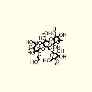 COC1C(CO)OC(OCC2OC(OC3C(CO)OC(C)C(O)C3O)C(O)C(O)C2OC2OC(CO)C(OC)C(O)C2OCCO)C(O)C1O.[CH2]O